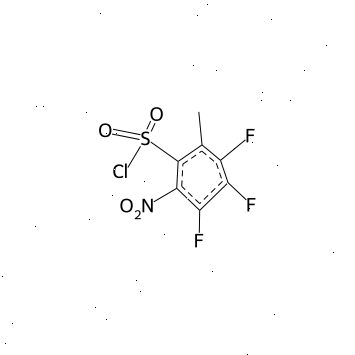 Cc1c(F)c(F)c(F)c([N+](=O)[O-])c1S(=O)(=O)Cl